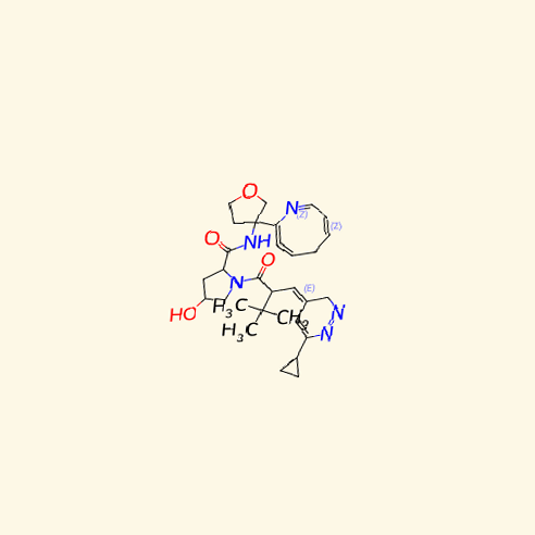 CC(C)(C)C(/C=C1\C=C(C2CC2)N=NC1)C(=O)N1CC(O)CC1C(=O)NC1(C2=C=CC/C=C\C=N/2)CCOC1